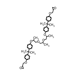 CC(COCC(C)Oc1ccc(C(C)(C)c2ccc(OCC3CO3)cc2)cc1)OCC(C)Oc1ccc(C(C)(C)c2ccc(OCC3CO3)cc2)cc1